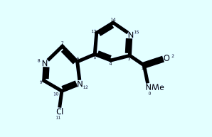 CNC(=O)c1cc(-c2cncc(Cl)n2)ccn1